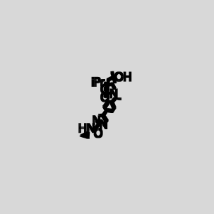 CC(C)C1(CC(C)(C)O)CCN([C@@H](C)c2ccc(-c3cnc(C(=O)NC4CC4)nc3)cc2)C(=O)O1